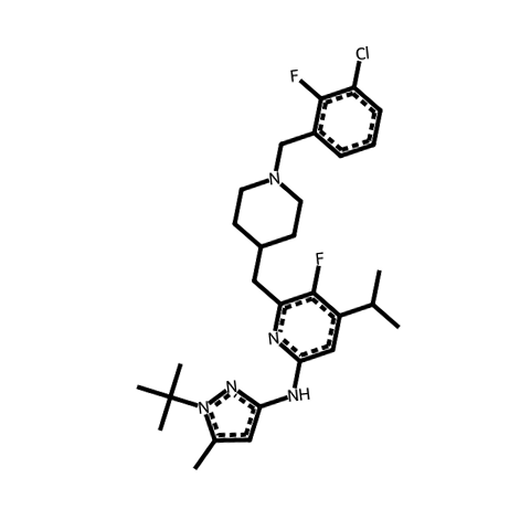 Cc1cc(Nc2cc(C(C)C)c(F)c(CC3CCN(Cc4cccc(Cl)c4F)CC3)n2)nn1C(C)(C)C